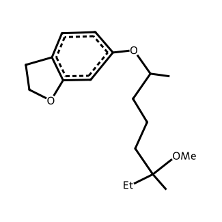 CCC(C)(CCCC(C)Oc1ccc2c(c1)OCC2)OC